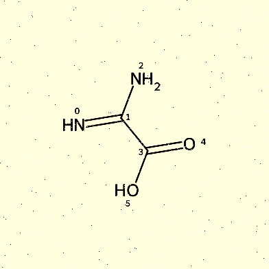 N=C(N)C(=O)O